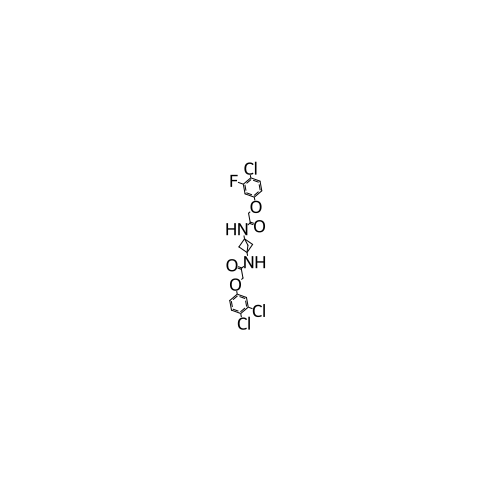 O=C(COc1ccc(Cl)c(F)c1)NC12CC(NC(=O)COc3ccc(Cl)c(Cl)c3)(C1)C2